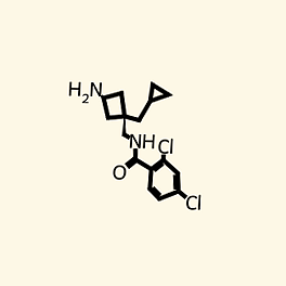 N[C@H]1C[C@@](CNC(=O)c2ccc(Cl)cc2Cl)(CC2CC2)C1